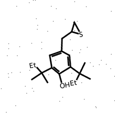 CCC(C)(C)c1cc(CC2CS2)cc(C(C)(C)CC)c1O